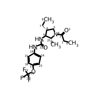 CCC(=O)N1C[C@@H](CC)C(NC(=O)Nc2ccc(OC(F)(F)F)cc2)[C@H]1C